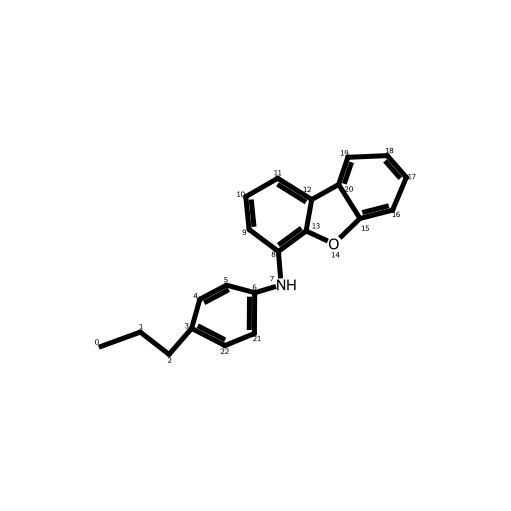 CCCc1ccc(Nc2cccc3c2oc2ccccc23)cc1